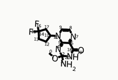 COC1(N)N=C2C(=NC=CN2C2CCC(F)(F)C2)C(=O)N1